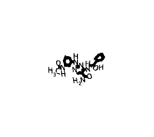 CC(=O)Nc1cccc(Nc2ncc(C(N)=O)c(NC[C@@H](O)c3ccccc3)n2)c1